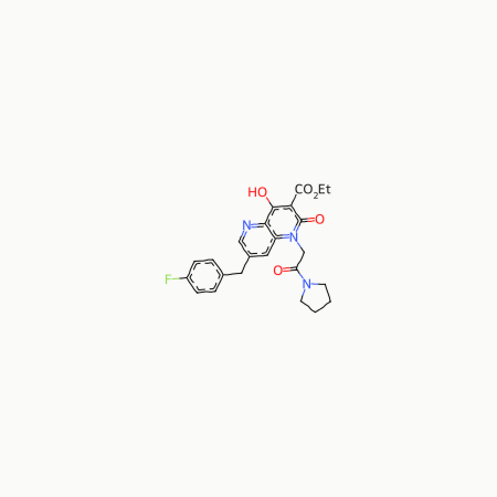 CCOC(=O)c1c(O)c2ncc(Cc3ccc(F)cc3)cc2n(CC(=O)N2CCCC2)c1=O